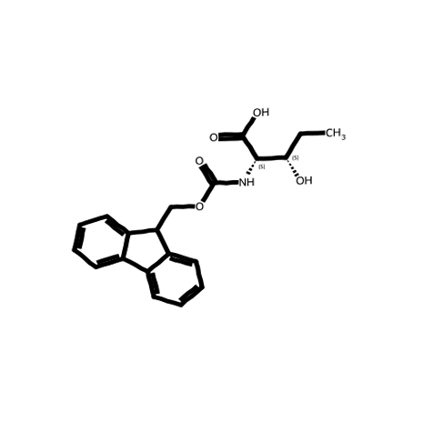 CC[C@H](O)[C@H](NC(=O)OCC1c2ccccc2-c2ccccc21)C(=O)O